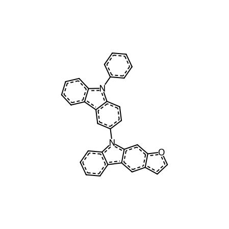 c1ccc(-n2c3ccccc3c3cc(-n4c5ccccc5c5cc6ccoc6cc54)ccc32)cc1